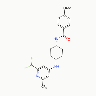 COc1ccc(C(=O)N[C@H]2CC[C@@H](Nc3cc(C(F)F)nc(C(F)(F)F)c3)CC2)cc1